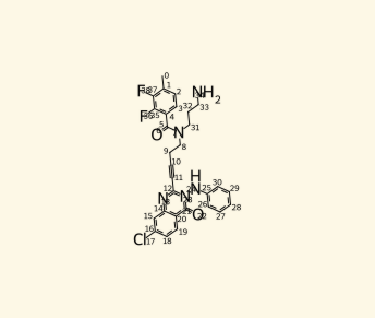 Cc1ccc(C(=O)N(CCC#Cc2nc3cc(Cl)ccc3c(=O)n2Nc2ccccc2)CCCN)c(F)c1F